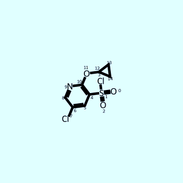 O=S(=O)(Cl)c1cc(Cl)cnc1OC1CC1